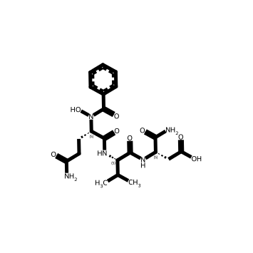 CC(C)[C@H](NC(=O)[C@H](CCC(N)=O)N(O)C(=O)c1ccccc1)C(=O)N[C@@H](CC(=O)O)C(N)=O